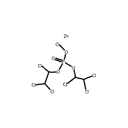 O=P(OCl)(OC(Cl)C(Cl)Cl)OC(Cl)C(Cl)Cl.[Zn]